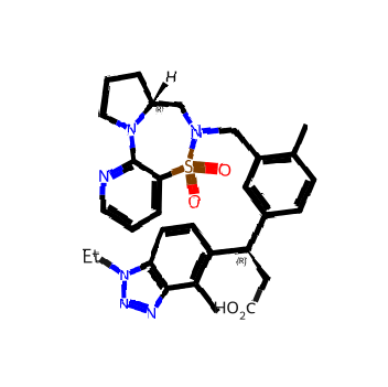 CCn1nnc2c(C)c([C@H](CC(=O)O)c3ccc(C)c(CN4C[C@H]5CCCN5c5ncccc5S4(=O)=O)c3)ccc21